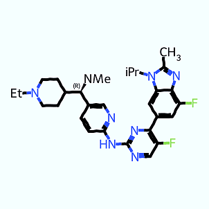 CCN1CCC([C@@H](NC)c2ccc(Nc3ncc(F)c(-c4cc(F)c5nc(C)n(C(C)C)c5c4)n3)nc2)CC1